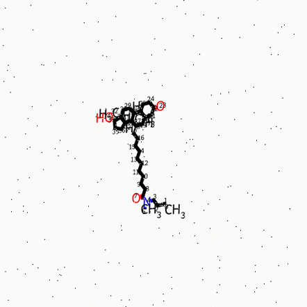 CCCCN(C)C(=O)CCCCCCCCCC[C@@H]1C[C@H]2CC(=O)CC[C@]2(C)[C@H]2CC[C@]3(C)[C@@H](O)CC[C@H]3[C@H]12